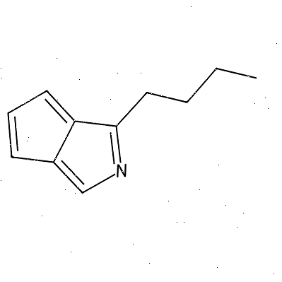 CCCCC1=NC=C2C=CC=C21